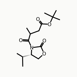 CC(CC(=O)OC(C)(C)C)C(=O)N1C(=O)OC[C@@H]1C(C)C